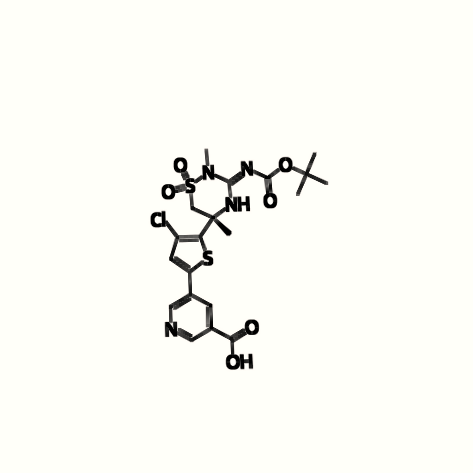 CN1/C(=N/C(=O)OC(C)(C)C)N[C@](C)(c2sc(-c3cncc(C(=O)O)c3)cc2Cl)CS1(=O)=O